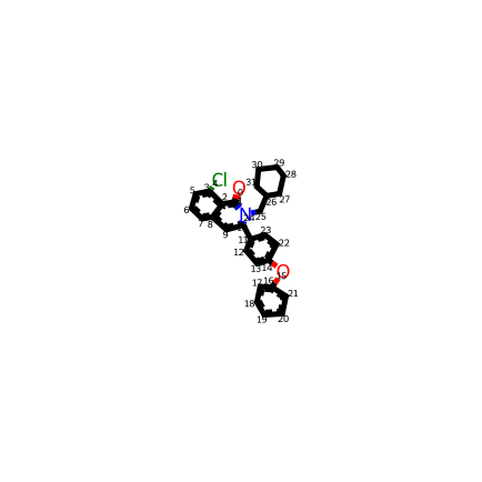 O=c1c2c(Cl)cccc2cc(-c2ccc(Oc3ccccc3)cc2)n1CC1CCCCC1